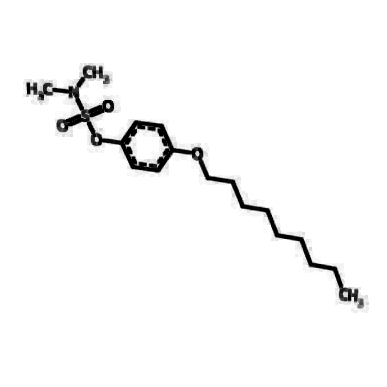 CCCCCCCCCOc1ccc(OS(=O)(=O)N(C)C)cc1